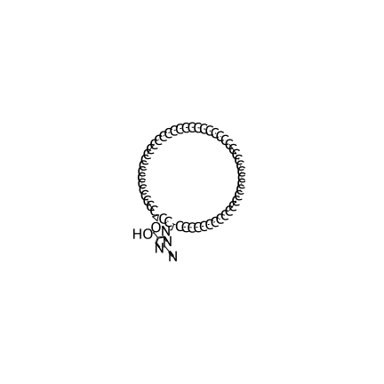 CN(CC1CCCCCCCCCCCCCCCCCCCCCCCCCCCCCCCCCCCCCCCCCCCCCCCCC2(CC1)CC2)c1nc(C#N)ncc1C(=O)O